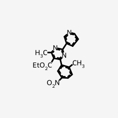 CCOC(=O)c1c(C)nc(-c2cccnc2)nc1-c1cc([N+](=O)[O-])ccc1C